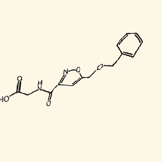 O=C(O)CNC(=O)c1cc(COCc2ccccc2)on1